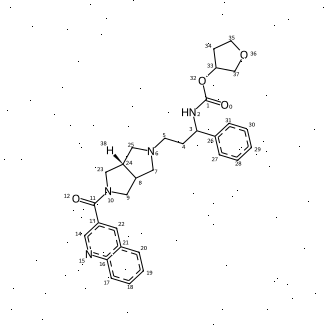 O=C(NC(CCN1CC2CN(C(=O)c3cnc4ccccc4c3)C[C@@H]2C1)c1ccccc1)OC1CCOC1